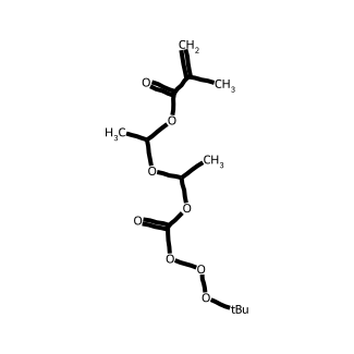 C=C(C)C(=O)OC(C)OC(C)OC(=O)OOOC(C)(C)C